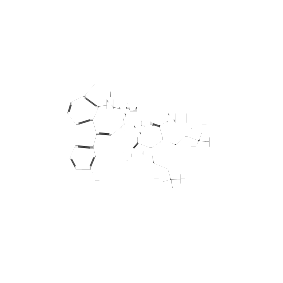 [CH2]N1c2c(C)cccc2C(c2cccc(F)c2)=C[C@@H](NC(=O)[C@H](CCC(F)(F)F)[C@H](CCC(F)(F)F)C(N)=O)[NH+]1[O-]